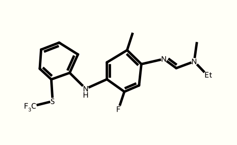 CCN(C)/C=N/c1cc(F)c(Nc2ccccc2SC(F)(F)F)cc1C